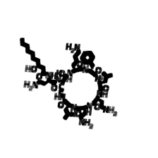 CCCCCCC[C@@H](O)CC(=O)N[C@H](CCN)C(=O)N[C@H]1CCNC(=O)[C@H](CC(C)C)NC(=O)[C@H](CCN)NC(=O)[C@H](CCN)NC(=O)[C@H](CC(C)C)NC(=O)[C@@H](Cc2ccccc2)NC(=O)[C@H](CCCCN)NC1=O